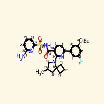 CC(C)COc1cc(F)cc(-c2ccc(C(=O)NS(=O)(=O)c3cccc(N)n3)c(N3CC(C)CC34CCC4)n2)c1